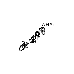 CC(=O)NC[C@H]1CN(c2ccc(N3C[C@H]4CN(CCS(=O)(=O)N5CCOCC5)C[C@H]4C3)c(F)c2)C(=O)O1